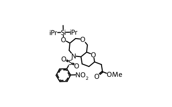 COC(=O)CC1CCC2C(COCC(O[Si](C)(C(C)C)C(C)C)CN2S(=O)(=O)c2ccccc2[N+](=O)[O-])O1